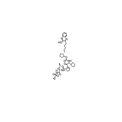 C=C[C@@H]1C[C@]1(NC(=O)[C@@H]1CCCN1C(=O)C(NC(=O)O[C@H]1CCC[C@@H]1CCCCCc1nc2ccccc2nc1O)C1CCCC1)C(=O)NS(=O)(=O)C1CC1